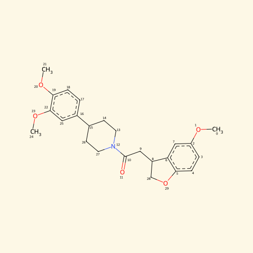 COc1ccc2c(c1)C(CC(=O)N1CCC(c3ccc(OC)c(OC)c3)CC1)CO2